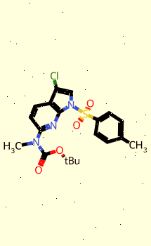 Cc1ccc(S(=O)(=O)n2cc(Cl)c3ccc(N(C)C(=O)OC(C)(C)C)nc32)cc1